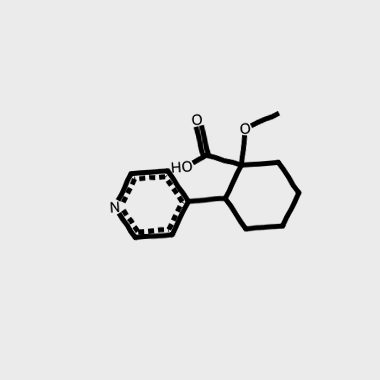 COC1(C(=O)O)CCCCC1c1ccncc1